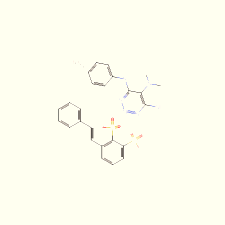 CCN(CC)c1c(N)nnnc1Nc1ccccc1.O=S(=O)([O-])c1cccc(C=Cc2ccccc2)c1S(=O)(=O)[O-].[Na+].[Na+]